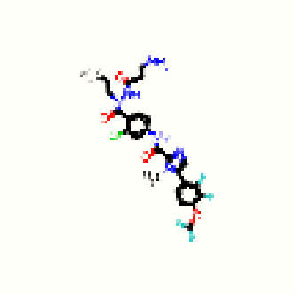 CCCN(NC(=O)CCN)C(=O)c1ccc(NC(=O)c2ncc(-c3ccc(OC(F)F)c(F)c3F)n2C)cc1Cl